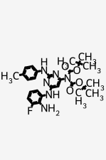 Cc1ccc(Nc2nc(Nc3cccc(F)c3N)cc(N(C(=O)OC(C)(C)C)C(=O)OC(C)(C)C)n2)cc1